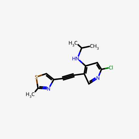 Cc1nc(C#Cc2cnc(Cl)cc2NC(C)C)cs1